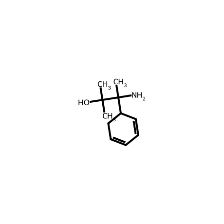 CC(C)(O)C(C)(N)C1C=CC=CC1